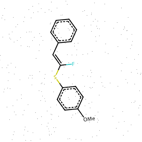 COc1ccc(SC(F)=Cc2ccccc2)cc1